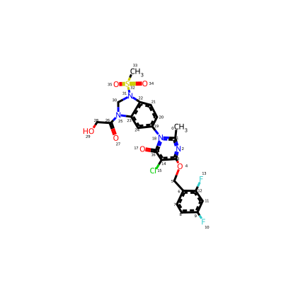 Cc1nc(OCc2ccc(F)cc2F)c(Cl)c(=O)n1-c1ccc2c(c1)N(C(=O)CO)CN2S(C)(=O)=O